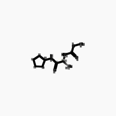 CC[C@@H](C)[C@@H](NC(=O)OC(C)(C)C)C(=O)NC1CCCC1